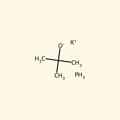 CC(C)(C)[O-].P.[K+]